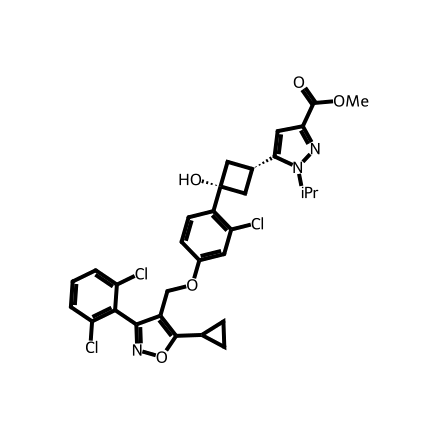 COC(=O)c1cc([C@H]2C[C@](O)(c3ccc(OCc4c(-c5c(Cl)cccc5Cl)noc4C4CC4)cc3Cl)C2)n(C(C)C)n1